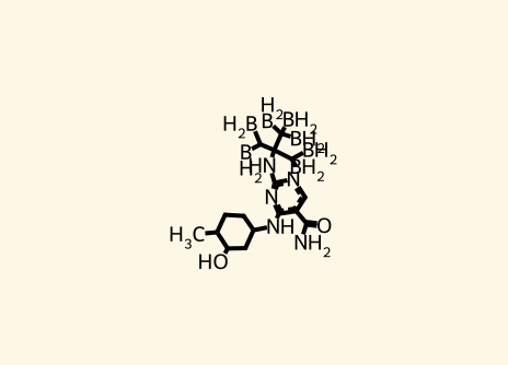 BC(B)C(Nc1ncc(C(N)=O)c(NC2CCC(C)C(O)C2)n1)(C(B)B)C(B)(B)B